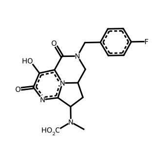 CN(C(=O)O)C1CC2CN(Cc3ccc(F)cc3)C(=O)c3c(O)c(=O)nc1n32